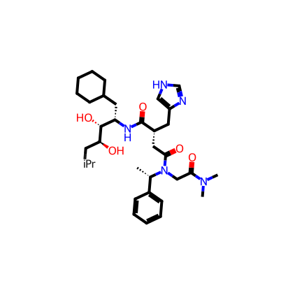 CC(C)C[C@H](O)[C@H](O)[C@H](CC1CCCCC1)NC(=O)[C@@H](CC(=O)N(CC(=O)N(C)C)[C@@H](C)c1ccccc1)Cc1c[nH]cn1